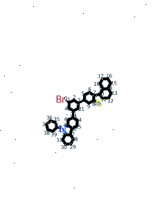 Brc1cc(-c2ccc3c(c2)sc2ccc4ccccc4c23)cc(-c2ccc3c4ccccc4n(-c4ccccc4)c3c2)c1